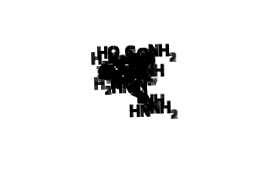 CCSS[C@H](c1ccccc1)[C@H](N)C(=O)N[C@H](CCCNC(=N)N)C(=O)N[C@@H](C)C(=O)N[C@H](CC(N)=O)C(=O)N[C@@H](CCCCN)C(=O)O